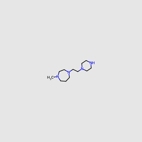 CN1CCCN(CCN2CCNCC2)CC1